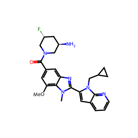 COc1cc(C(=O)N2C[C@H](N)C[C@@H](F)C2)cc2nc(-c3cc4cccnc4n3CC3CC3)n(C)c12